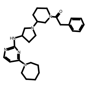 O=C(Cc1ccccc1)N1CCCC(N2CCC(Nc3nccc(N4CCCCCC4)n3)C2)C1